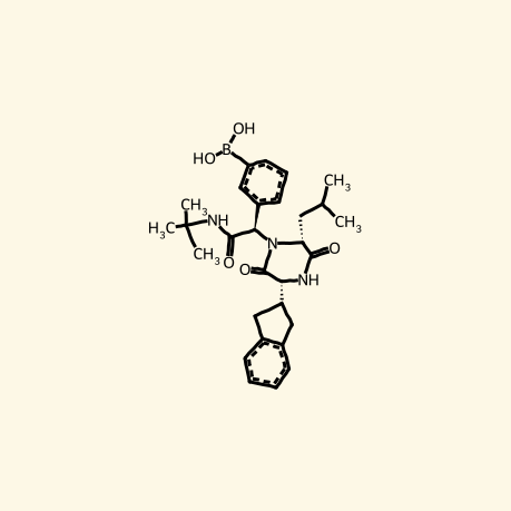 CC(C)C[C@@H]1C(=O)N[C@H](C2Cc3ccccc3C2)C(=O)N1[C@@H](C(=O)NC(C)(C)C)c1cccc(B(O)O)c1